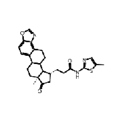 Cc1cnc(NC(=O)CC[C@@H]2CC(=O)[C@@]3(C)CCC4c5ccc6ocnc6c5CCC4C23)s1